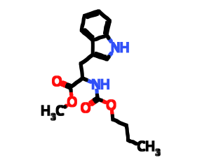 CCCCOC(=O)NC(Cc1c[nH]c2ccccc12)C(=O)OC